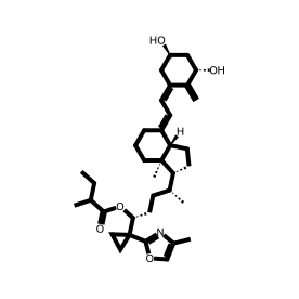 C=C1/C(=C\C=C2/CCC[C@]3(C)[C@@H]([C@H](C)CC[C@@H](OC(=O)C(C)CC)C4(c5nc(C)co5)CC4)CC[C@@H]23)C[C@@H](O)C[C@@H]1O